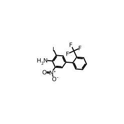 Nc1c(I)cc(-c2ccccc2C(F)(F)F)cc1[N+](=O)[O-]